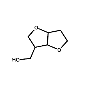 OCC1COC2CCOC12